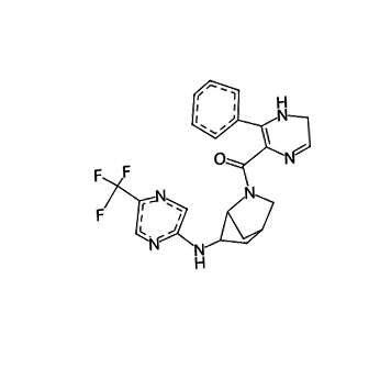 O=C(C1=C(c2ccccc2)NCC=N1)N1CC2CC(Nc3cnc(C(F)(F)F)cn3)C1C2